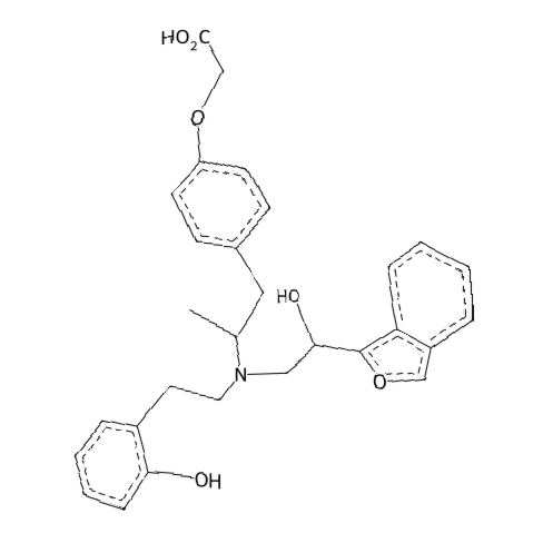 CC(Cc1ccc(OCC(=O)O)cc1)N(CCc1ccccc1O)CC(O)c1occ2ccccc12